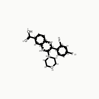 O=C(O)c1ccc2nc(-c3ccc(F)cc3F)c(N3CCOCC3)nc2c1